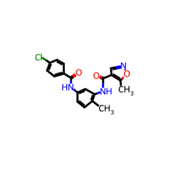 Cc1ccc(NC(=O)c2ccc(Cl)cc2)cc1NC(=O)c1cnoc1C